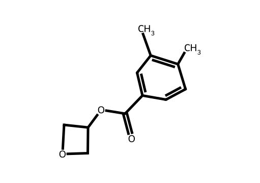 Cc1ccc(C(=O)OC2COC2)cc1C